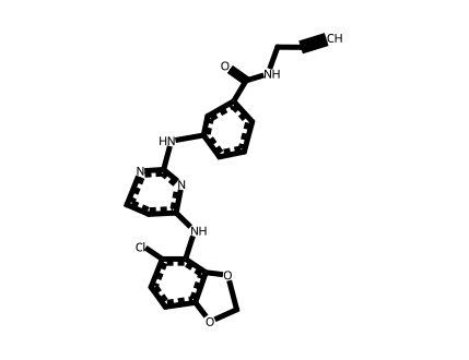 C#CCNC(=O)c1cccc(Nc2nccc(Nc3c(Cl)ccc4c3OCO4)n2)c1